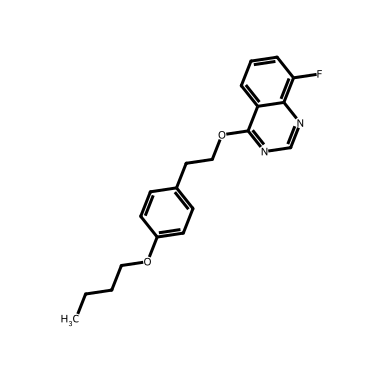 CCCCOc1ccc(CCOc2ncnc3c(F)cccc23)cc1